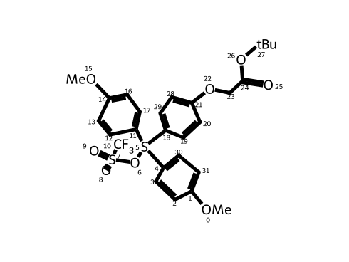 COc1ccc(S(OS(=O)(=O)C(F)(F)F)(c2ccc(OC)cc2)c2ccc(OCC(=O)OC(C)(C)C)cc2)cc1